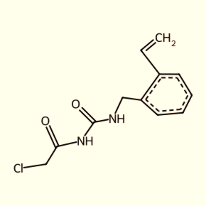 C=Cc1ccccc1CNC(=O)NC(=O)CCl